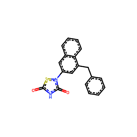 O=c1[nH]c(=O)n(-c2cc(Cc3ccccc3)c3ccccc3c2)s1